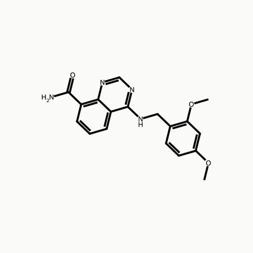 COc1ccc(CNc2ncnc3c(C(N)=O)cccc23)c(OC)c1